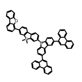 C[Si]1(C)c2cc(-c3cccc4c3oc3ccccc34)ccc2-c2ccc(-n3c4ccc(-c5cc6ccccc6c6ccccc56)cc4c4cc(-c5cc6ccccc6c6ccccc56)ccc43)cc21